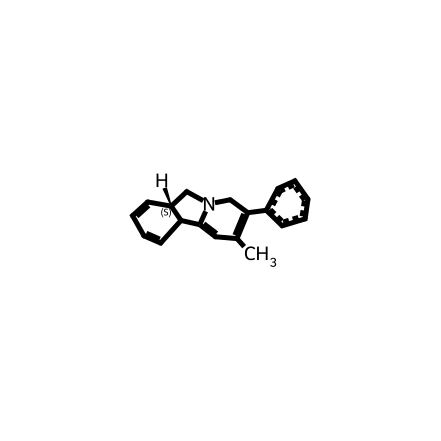 CC1=C(c2ccccc2)CN2C[C@H]3C=CC=CC3C2=C1